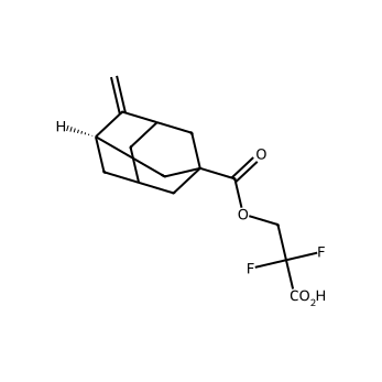 C=C1C2CC3C[C@@H]1CC(C(=O)OCC(F)(F)C(=O)O)(C3)C2